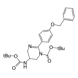 CC(C)(C)OC(=O)NC1CN=C(c2ccc(OCc3ccccc3)cc2)N(C(=O)OC(C)(C)C)C1